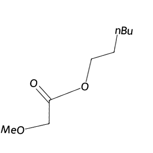 CCCCCCOC(=O)COC